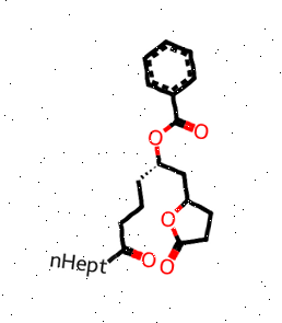 CCCCCCCC(=O)CCC[C@@H](CC1CCC(=O)O1)OC(=O)c1ccccc1